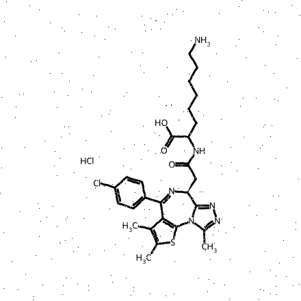 Cc1sc2c(c1C)C(c1ccc(Cl)cc1)=N[C@@H](CC(=O)NC(CCCCCCN)C(=O)O)c1nnc(C)n1-2.Cl